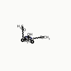 CCOOCCCCCCN1/C(=C/C2=C(O)C(=C/C3=[N+](CCCCCC(=O)OCC)c4ccccc4C3(C)C)/C2=O)C(C)(C)c2ccccc21